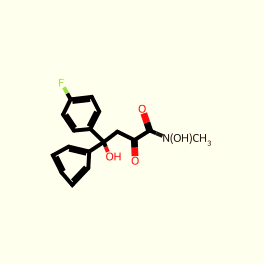 CN(O)C(=O)C(=O)CC(O)(c1ccccc1)c1ccc(F)cc1